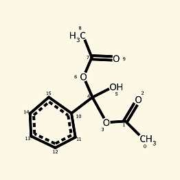 CC(=O)OC(O)(OC(C)=O)c1ccccc1